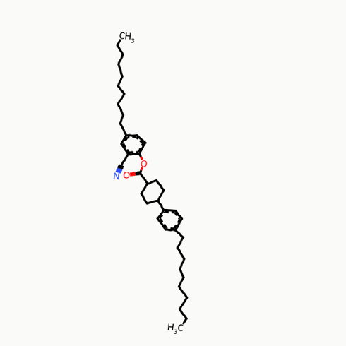 CCCCCCCCCCc1ccc(C2CCC(C(=O)Oc3ccc(CCCCCCCCCC)cc3C#N)CC2)cc1